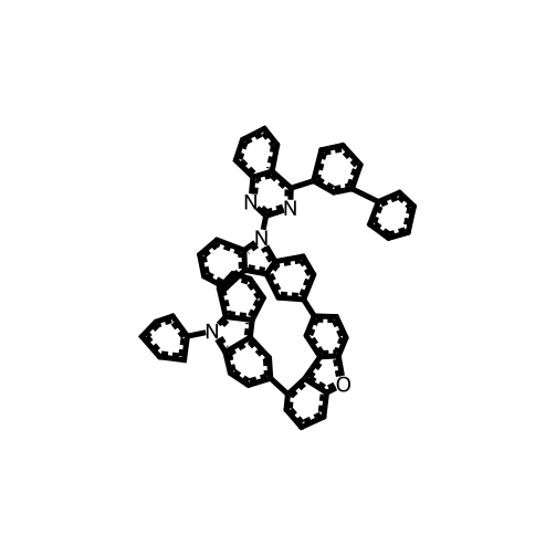 c1ccc(-c2cccc(-c3nc(-n4c5ccccc5c5cc(-c6ccc7oc8cccc(-c9ccc%10c(c9)c9ccccc9n%10-c9ccccc9)c8c7c6)ccc54)nc4ccccc34)c2)cc1